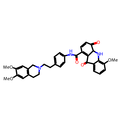 COc1cc2c(cc1OC)CN(CCc1ccc(NC(=O)C3=C4C(=O)c5cccc(OC)c5NC4C(=O)C=C3)cc1)CC2